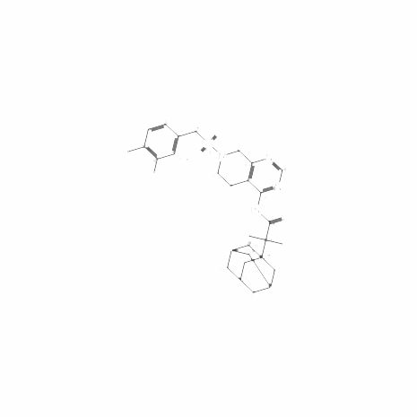 CC(C)(C(=O)Nc1ncnc2c1CCN(S(=O)(=O)Cc1ccc(Cl)c(Cl)c1)C2)C12CC3CC(CC(C3)C1)C2